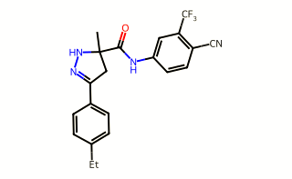 CCc1ccc(C2=NNC(C)(C(=O)Nc3ccc(C#N)c(C(F)(F)F)c3)C2)cc1